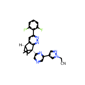 CC1(C)[C@H]2CC[C@]1(c1cncc(-c3cnn(CC#N)c3)n1)c1nnc(-c3c(F)cccc3F)cc12